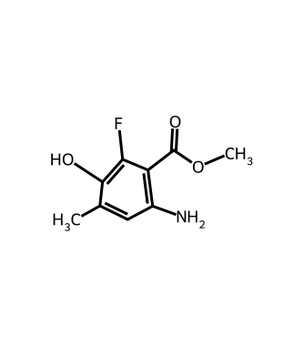 COC(=O)c1c(N)cc(C)c(O)c1F